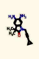 CC1(C)C(=O)N(CC#CC2CC2)c2cc(N)c(N)cc21